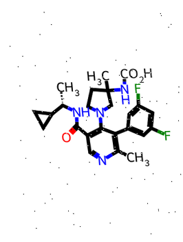 Cc1ncc(C(=O)N[C@@H](C)C2CC2)c(N2CCC(C)(NC(=O)O)C2)c1-c1cc(F)cc(F)c1